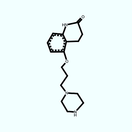 O=C1CCc2c(cccc2OCCCN2CCNCC2)N1